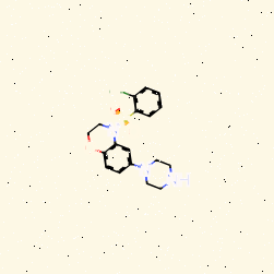 O=S(=O)(c1ccccc1Cl)N1CCOc2ccc(N3CCNCC3)cc21